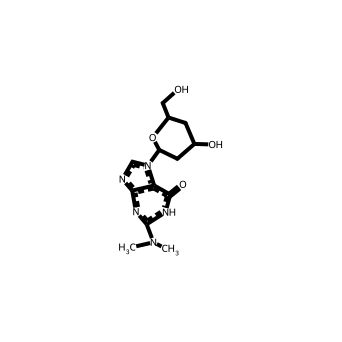 CN(C)c1nc2ncn(C3CC(O)CC(CO)O3)c2c(=O)[nH]1